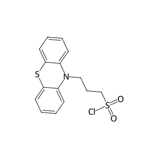 O=S(=O)(Cl)CCCN1c2ccccc2Sc2ccccc21